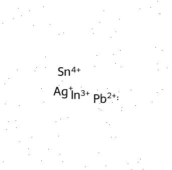 [Ag+].[In+3].[Pb+2].[Sn+4]